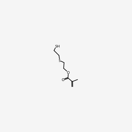 C=C(C)C(=O)OCCSCCS